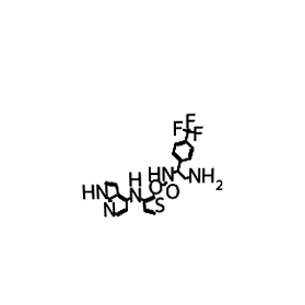 NCC(NC(=O)Oc1sccc1Nc1ccnc2[nH]ccc12)c1ccc(C(F)(F)F)cc1